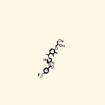 Cc1c(OC[C@@H](O)CC#N)ccc([C@H](C)N2C[C@@H]3C[C@H]2CN3C(=O)c2ccc(C(F)(F)F)cc2)c1C